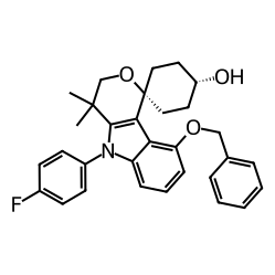 CC1(C)CO[C@]2(CC[C@@H](O)CC2)c2c1n(-c1ccc(F)cc1)c1cccc(OCc3ccccc3)c12